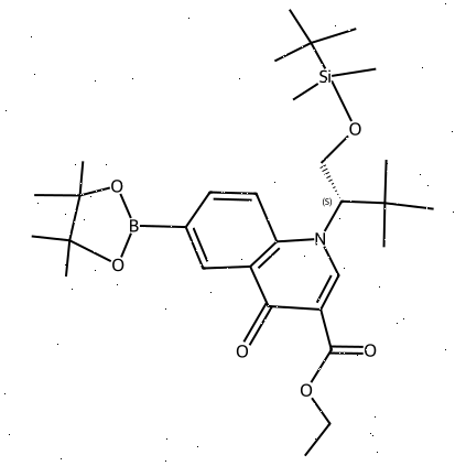 CCOC(=O)c1cn([C@H](CO[Si](C)(C)C(C)(C)C)C(C)(C)C)c2ccc(B3OC(C)(C)C(C)(C)O3)cc2c1=O